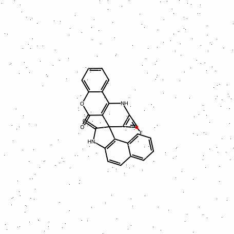 O=C1Nc2ccc3ccccc3c2C12c1cc(F)ccc1Nc1c2c(=O)oc2ccccc12